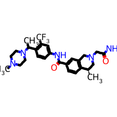 CC(c1ccc(NC(=O)c2ccc3c(c2)CN(CC(N)=O)C[C@@H]3C)cc1C(F)(F)F)N1CCN(C)CC1